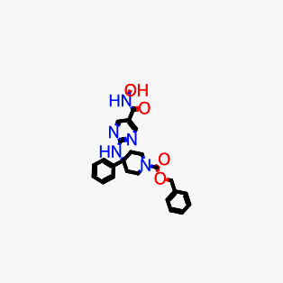 O=C(NO)c1cnc(NC2(c3ccccc3)CCN(C(=O)OCc3ccccc3)CC2)nc1